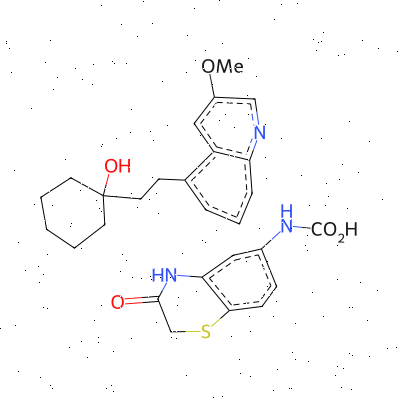 COc1cnc2cccc(CCC3(O)CCCCC3)c2c1.O=C(O)Nc1ccc2c(c1)NC(=O)CS2